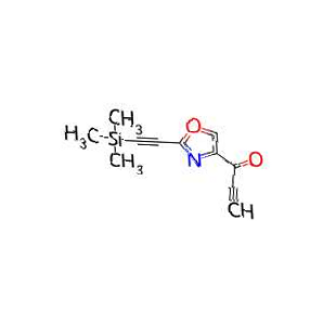 C#CC(=O)c1coc(C#C[Si](C)(C)C)n1